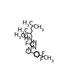 COC(C)C(CCC(C)C)CNc1ncnc(N2CCCC2c2ccc(C(C)(F)F)cc2)c1F